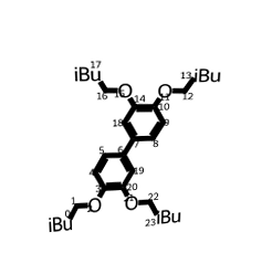 CCC(C)COc1ccc(-c2ccc(OCC(C)CC)c(OCC(C)CC)c2)cc1OCC(C)CC